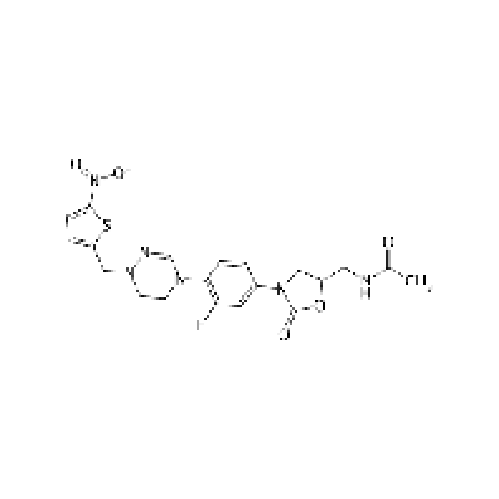 CC(=O)NCC1CN(c2ccc(N3C=NN(Cc4ccc([N+](=O)[O-])s4)CC3)c(F)c2)C(=O)O1